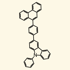 c1ccc(-n2c3ccccc3c3cc(-c4ccc(-c5cc6ccccc6c6ccccc56)cc4)ccc32)cc1